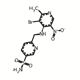 Cc1ncc([N+](=O)[O-])c(NCc2ccc(S(N)(=O)=O)cn2)c1Br